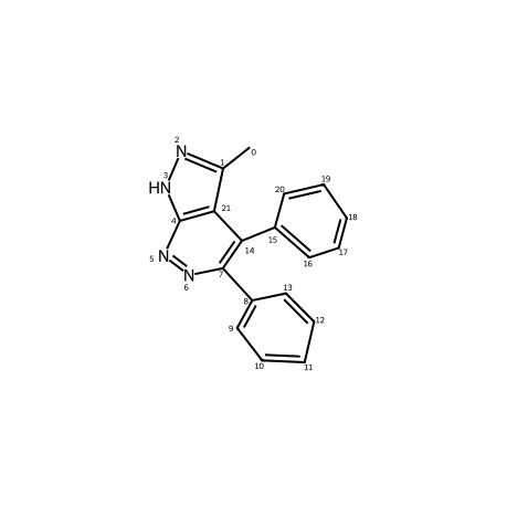 Cc1n[nH]c2nnc(-c3ccccc3)c(-c3ccccc3)c12